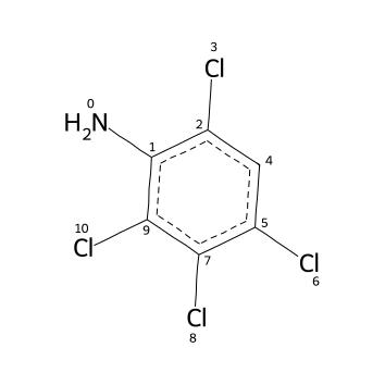 Nc1c(Cl)cc(Cl)c(Cl)c1Cl